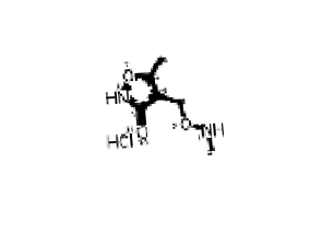 CNOCc1c(C)o[nH]c1=O.Cl